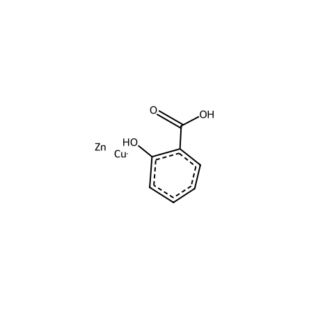 O=C(O)c1ccccc1O.[Cu].[Zn]